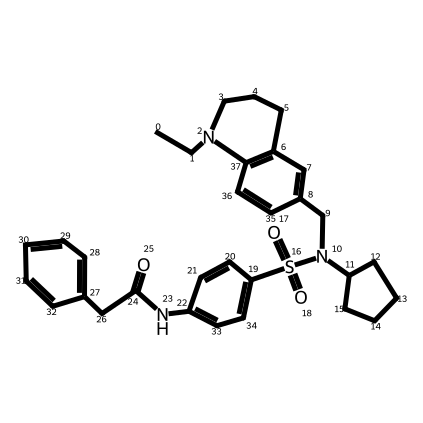 CCN1CCCc2cc(CN(C3CCCC3)S(=O)(=O)c3ccc(NC(=O)Cc4ccccc4)cc3)ccc21